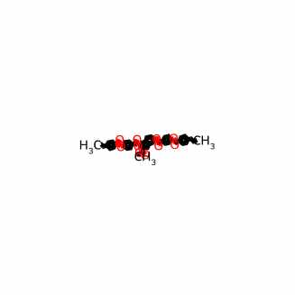 CCCc1ccc(C(=O)Oc2ccc(C(=O)Oc3ccc4cc(OC(=O)c5ccc(OC(=O)c6ccc(CCC)cc6)cc5)c(C(=O)OC)cc4c3)cc2)cc1